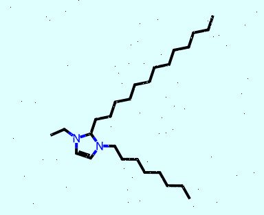 CCCCCCCCCCCCCC1N(CC)C=CN1CCCCCCCC